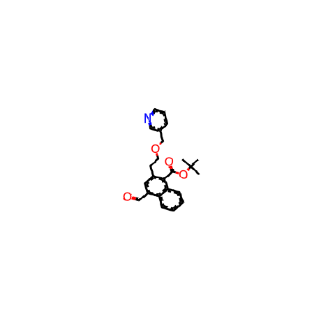 CC(C)(C)OC(=O)c1c(CCOCc2cccnc2)cc(C=O)c2ccccc12